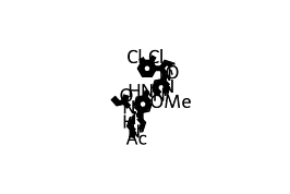 C=CC(=O)Nc1cc(Nc2cc(N3OCCC3c3cccc(Cl)c3Cl)ncn2)c(OC)cc1N1CCN(C(C)=O)CC1